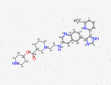 Cc1cccc(-c2[nH]cnc2-c2ccc3ncc(NCCN4CCCC(C(=O)OC5CCNCC5)C4)cc3c2)n1